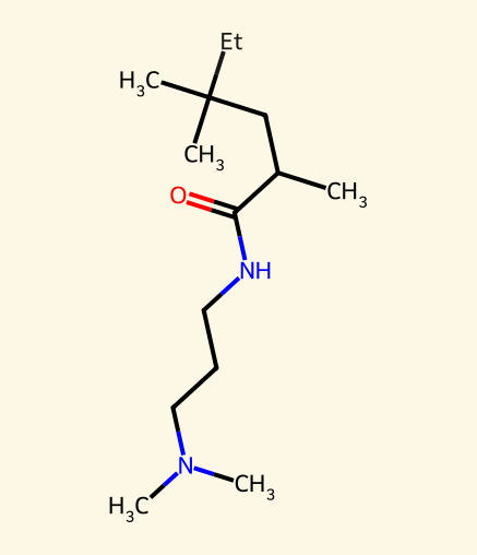 CCC(C)(C)CC(C)C(=O)NCCCN(C)C